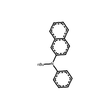 CCCCN(c1ccccc1)c1ccc2ccccc2c1